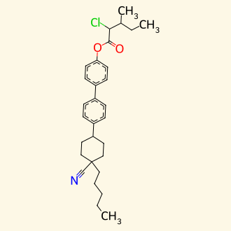 CCCCCC1(C#N)CCC(c2ccc(-c3ccc(OC(=O)C(Cl)C(C)CC)cc3)cc2)CC1